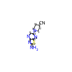 N#CC1CCN(c2cnc3nc(N)sc3n2)CC1